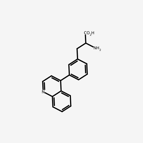 NC(Cc1cccc(-c2ccnc3ccccc23)c1)C(=O)O